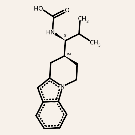 CC(C)[C@H](NC(=O)O)[C@H]1CCn2c(cc3ccccc32)C1